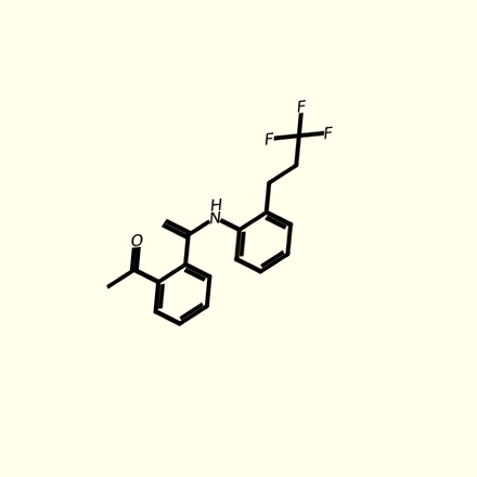 C=C(Nc1ccccc1CCC(F)(F)F)c1ccccc1C(C)=O